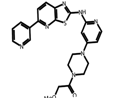 COCC(=O)N1CCN(c2ccnc(Nc3nc4ccc(-c5cccnc5)nc4s3)c2)CC1